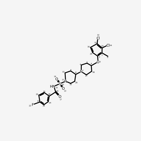 Cc1c(OC2CCN(C3CCN(S(=O)(=O)NC(=O)c4ccc(F)cc4)CC3)CC2)ccc(Cl)c1Cl